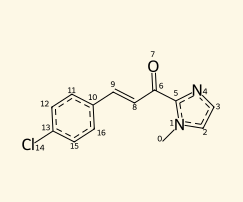 Cn1ccnc1C(=O)C=Cc1ccc(Cl)cc1